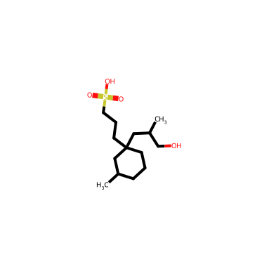 CC(CO)CC1(CCCS(=O)(=O)O)CCCC(C)C1